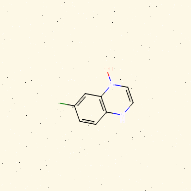 ON1C=CNc2ccc(Cl)cc21